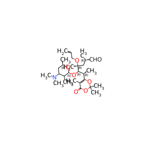 C=CCO[C@](C)(C[C@@H](C)C=O)[C@H](O[C@@H]1O[C@H](C)CC(N(C)C)C1C)[C@@H](C)C1=C(C)C(=O)OC(C)(C)O1